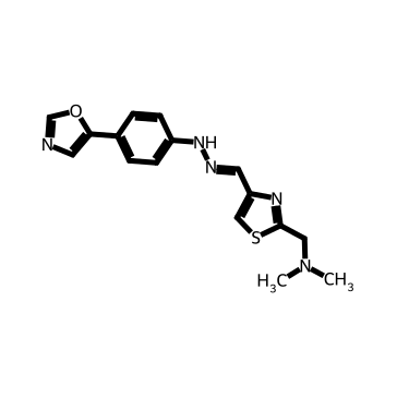 CN(C)Cc1nc(C=NNc2ccc(-c3cnco3)cc2)cs1